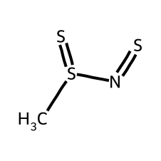 CS(=S)N=S